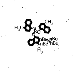 CCCC[N+](CCCC)(CCCC)CCCC.Cc1ccc(OB(Oc2ccc(C)c3ccccc23)Oc2ccc(C)c3ccccc23)c2ccccc12